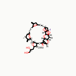 C=C1CC2CC[C@@]34C[C@@]5(I)O[C@@H]6C(O[C@H]7CC[C@H](CC(=O)CC8[C@@H](OC)C(C[C@H](O)CO)O[C@H]8C[C@H]8O[C@@H](CCC1O2)C[C@@H](C)C8=C)O[C@@H]7[C@@H]6O3)[C@H]5O4